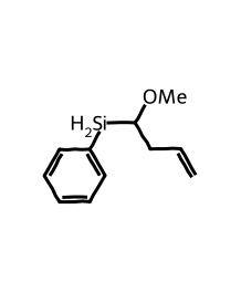 C=CCC(OC)[SiH2]c1ccccc1